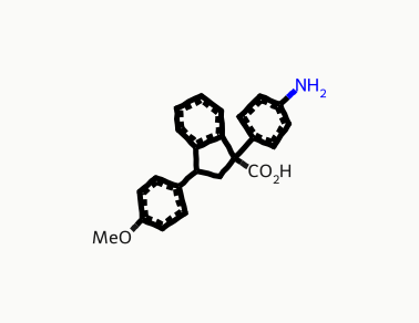 COc1ccc(C2CC(C(=O)O)(c3ccc(N)cc3)c3ccccc32)cc1